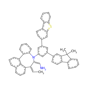 C/C=C1\C(=C/N)N(c2cc(-c3ccc4c(c3)C(C)(C)c3ccccc3-4)cc(-c3ccc4c(c3)sc3ccccc34)c2)c2ccccc2-c2cccc3cccc1c23